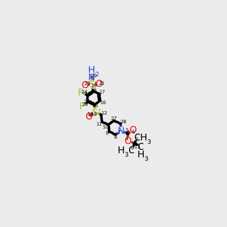 CC(C)(C)OC(=O)N1CCC(CC[S+]([O-])c2ccc(S(N)(=O)=O)c(F)c2F)CC1